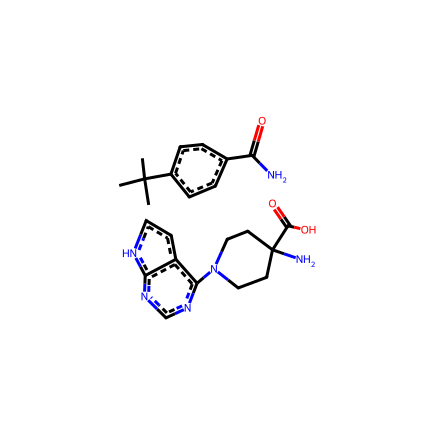 CC(C)(C)c1ccc(C(N)=O)cc1.NC1(C(=O)O)CCN(c2ncnc3[nH]ccc23)CC1